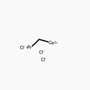 CC(C)[CH2][Ge+3].[Cl-].[Cl-].[Cl-]